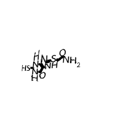 NC(=O)CSc1nc2c([nH]1)C(=O)NC(S)N2